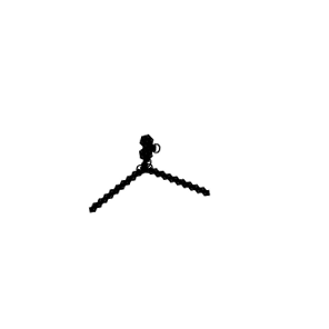 CCCCCCCCCCCCCCCCCCOC(C)(COc1ccc2c(c1)C(=O)c1ccccc1-2)OCCCCCCCCCCCCCCCCCC